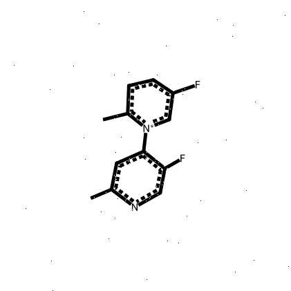 Cc1cc(-[n+]2cc(F)ccc2C)c(F)cn1